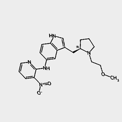 COCCN1CCC[C@@H]1Cc1c[nH]c2ccc(Nc3ncccc3[N+](=O)[O-])cc12